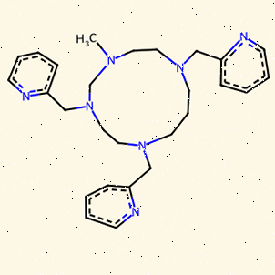 CN1CCN(Cc2ccccn2)CCCN(Cc2ccccn2)CCN(Cc2ccccn2)C1